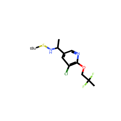 CC(NSC(C)(C)C)c1cnc(OCC(C)(F)F)c(Cl)c1